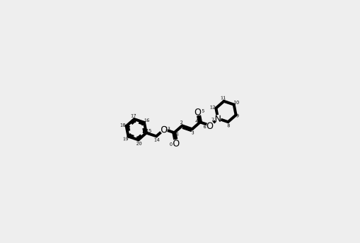 O=C(/C=C/C(=O)ON1CCCCC1)OCc1ccccc1